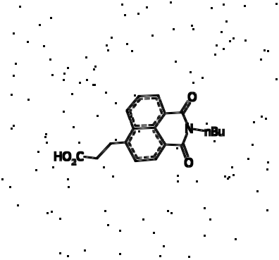 CCCCN1C(=O)c2cccc3c(CCC(=O)O)ccc(c23)C1=O